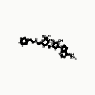 CNc1ncnc2c1ccn2[C@@H]1C[C@H](CN(CCCNCCc2ccccc2)CC(F)(F)F)[C@@H](O)[C@H]1O